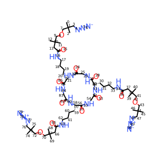 CC(C)(CN=[N+]=[N-])COCC(C)(C)CC(=O)NCCCC[C@@H]1NC(=O)CNC(=O)[C@H](CCCCNC(=O)CC(C)(C)COCC(C)(C)CN=[N+]=[N-])NC(=O)CNC(=O)[C@H](CCCCNC(=O)CC(C)(C)COCC(C)(C)CN=[N+]=[N-])NC(=O)CNC1=O